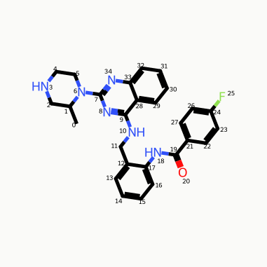 CC1CNCCN1c1nc(NCc2ccccc2NC(=O)c2ccc(F)cc2)c2ccccc2n1